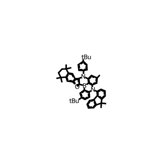 Cc1cc2c3c(c1)N(c1ccc(C(C)(C)C)cc1)c1c(oc4cc5c(cc14)C(C)(C)CCC5(C)C)B3c1cc(C(C)(C)C)ccc1N2c1cccc2c1-c1ccccc1C2(C)C